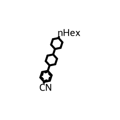 CCCCCCC1CCC(C2CCC(c3ccc(C#N)cc3)CC2)CC1